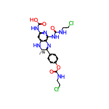 C[C@@H]1Nc2cc(NC(=O)O)nc(NC(=O)NCCCl)c2N=C1c1ccc(OC(=O)NCCCl)cc1